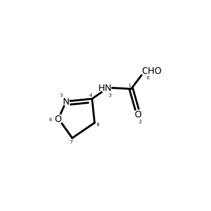 O=CC(=O)NC1=NOCC1